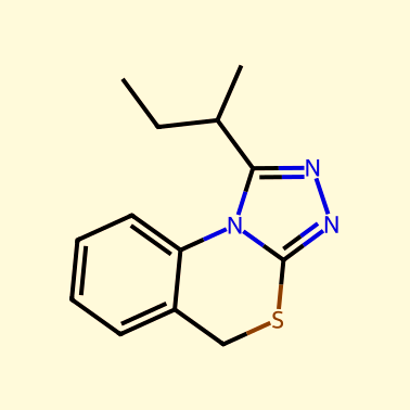 CCC(C)c1nnc2n1-c1ccccc1CS2